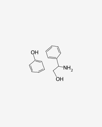 NC(CO)c1ccccc1.Oc1ccccc1